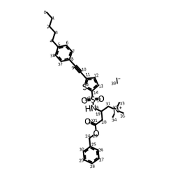 CCCCCc1ccc(C#Cc2ccc(S(=O)(=O)NC(CC(=O)OCc3ccccc3)C[N+](C)(C)C)s2)cc1.[I-]